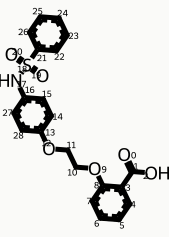 O=C(O)c1ccccc1OCCOc1ccc(NS(=O)(=O)c2ccccc2)cc1